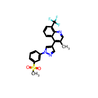 Cc1cnc2c(C(F)(F)F)cccc2c1-c1cnn(-c2cccc(S(C)(=O)=O)c2)c1